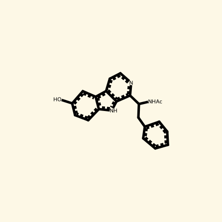 CC(=O)NC(Cc1ccccc1)c1nccc2c1[nH]c1ccc(O)cc12